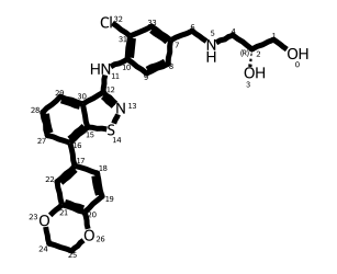 OC[C@H](O)CNCc1ccc(Nc2nsc3c(-c4ccc5c(c4)OCCO5)cccc23)c(Cl)c1